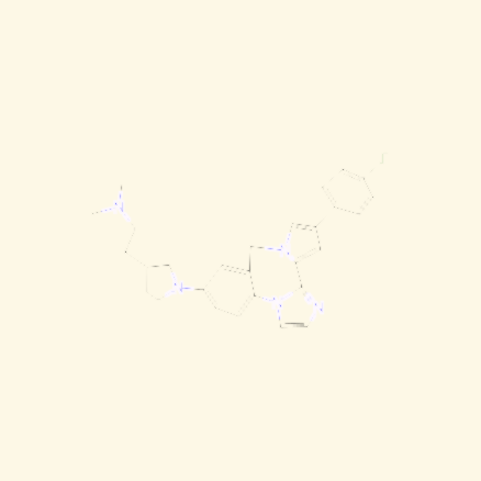 CN(C)CCC1CCN(c2ccc3c(c2)Cn2cc(-c4ccc(F)cc4)cc2-c2nccn2-3)C1